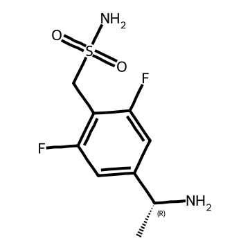 C[C@@H](N)c1cc(F)c(CS(N)(=O)=O)c(F)c1